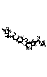 Cc1cc(NC(=O)Cc2ccc(Oc3ccnc4cc(C(=O)N5CCC5)sc34)cc2)no1